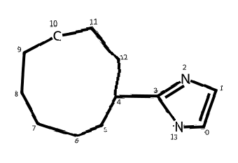 C1=CN=C(C2CCCCCCCC2)[N]1